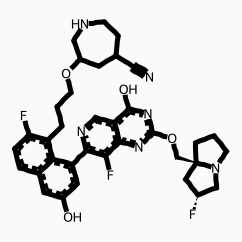 N#CC1CCNCC(OCCCc2c(F)ccc3cc(O)cc(-c4ncc5c(O)nc(OC[C@@]67CCCN6C[C@H](F)C7)nc5c4F)c23)C1